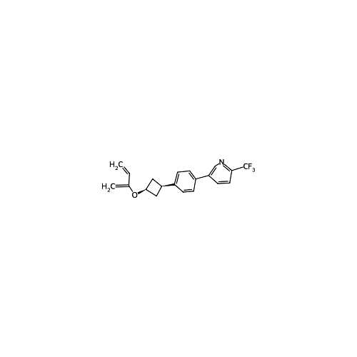 C=CC(=C)O[C@H]1C[C@@H](c2ccc(-c3ccc(C(F)(F)F)nc3)cc2)C1